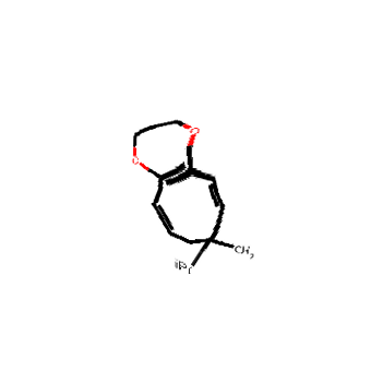 CC(C)C1(C)C=CC2=C(C=C1)OCCO2